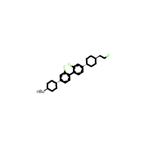 CCCC[C@H]1CC[C@H](c2ccc(-c3ccc([C@H]4CC[C@H](CCF)CC4)cc3F)c(F)c2)CC1